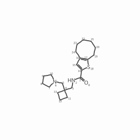 O=C(NCC1(CN2CCCC2)CCC1)c1cc2c(s1)CCCCCC2